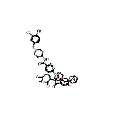 N#Cc1ccc(O[C@H]2CC[C@H](NC(=O)c3ccc(N4CCC(CN5CC6CC(C5)N6c5cc6c(cc5F)C(=O)N(C5CCC(=O)NC5=O)C6=O)CC4)nn3)CC2)cc1Cl